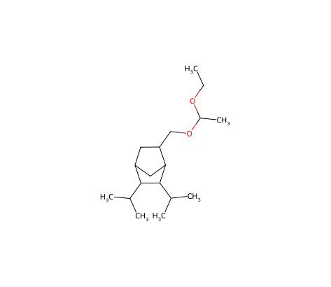 CCOC(C)OCC1CC2CC1C(C(C)C)C2C(C)C